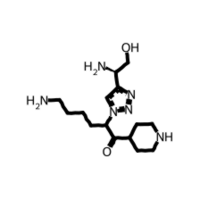 NCCCCC(C(=O)C1CCNCC1)n1cc([C@@H](N)CO)nn1